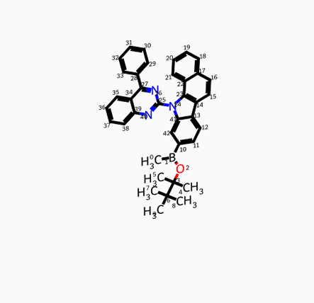 CB(OC(C)(C)C(C)(C)C)c1ccc2c3ccc4ccccc4c3n(-c3nc(-c4ccccc4)c4ccccc4n3)c2c1